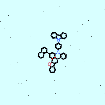 c1cc(-c2cccc3ccccc23)cc(N(c2ccc(-n3c4ccccc4c4ccccc43)cc2)c2ccccc2-c2ccc3oc4ccccc4c3c2)c1